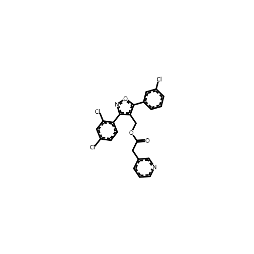 O=C(Cc1cccnc1)OCc1c(-c2ccc(Cl)cc2Cl)noc1-c1cccc(Cl)c1